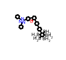 Bc1c(B)c(B)c(-c2ccc(-c3ccc(-c4cccc5c4oc4cc(-c6nc(-c7ccccc7)nc(-c7ccccc7)n6)ccc45)cc3)cc2)c(B)c1B